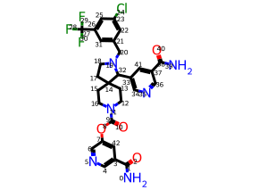 NC(=O)c1cncc(OC(=O)N2CCC3(CC2)CCN(Cc2cc(Cl)cc(C(F)(F)F)c2)C3c2cncc(C(N)=O)c2)c1